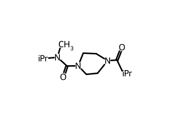 CC(C)C(=O)N1CCN(C(=O)N(C)C(C)C)CC1